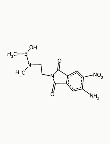 CB(O)N(C)CCN1C(=O)c2cc(N)c([N+](=O)[O-])cc2C1=O